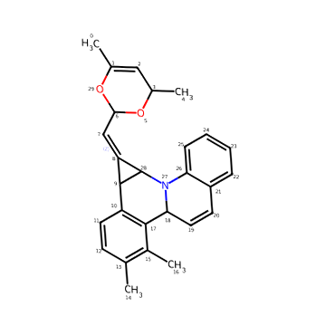 CC1=CC(C)OC(/C=C2/C3c4ccc(C)c(C)c4C4C=Cc5ccccc5N4C23)O1